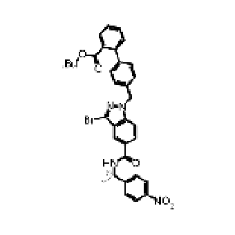 C[C@H](NC(=O)c1ccc2c(c1)c(Br)nn2Cc1ccc(-c2ccccc2C(=O)OC(C)(C)C)cc1)c1ccc([N+](=O)[O-])cc1